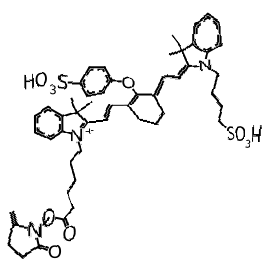 C=C1CCC(=O)N1OC(=O)CCCCC[N+]1=C(/C=C/C2=C(Oc3ccc(S(=O)(=O)O)cc3)C(=C/C=C3/N(CCCCS(=O)(=O)O)c4ccccc4C3(C)C)/CCC2)C(C)(C)c2ccccc21